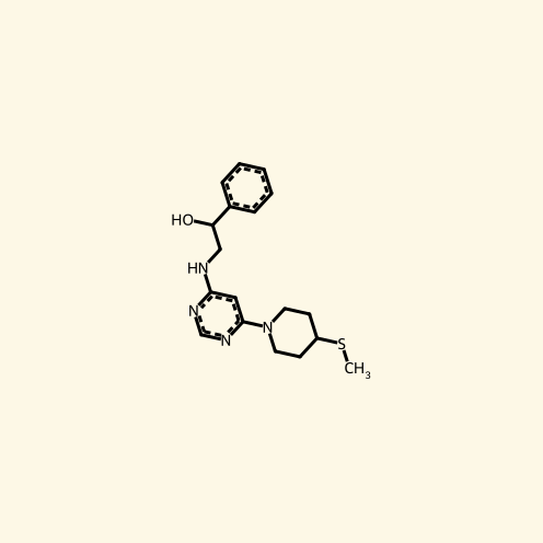 CSC1CCN(c2cc(NCC(O)c3ccccc3)ncn2)CC1